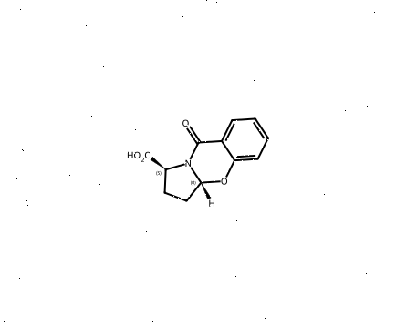 O=C(O)[C@@H]1CC[C@H]2Oc3ccccc3C(=O)N21